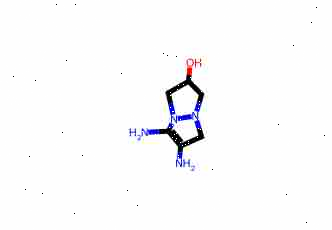 NC1=C(N)N2CC(O)CN2C1